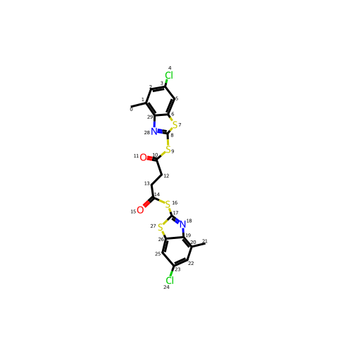 Cc1cc(Cl)cc2sc(SC(=O)CCC(=O)Sc3nc4c(C)cc(Cl)cc4s3)nc12